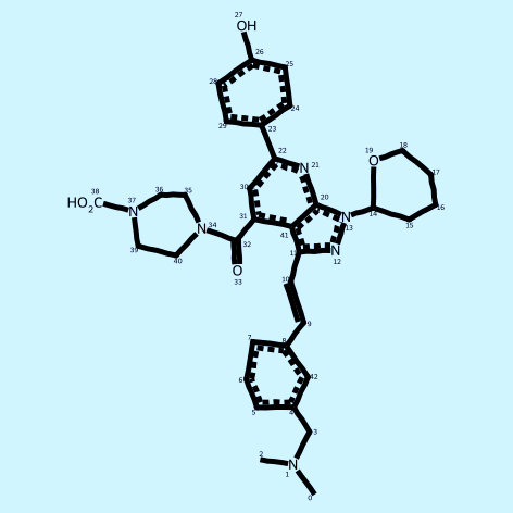 CN(C)Cc1cccc(C=Cc2nn(C3CCCCO3)c3nc(-c4ccc(O)cc4)cc(C(=O)N4CCN(C(=O)O)CC4)c23)c1